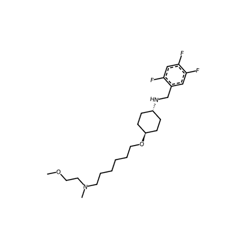 COCCN(C)CCCCCCO[C@H]1CC[C@H](NCc2cc(F)c(F)cc2F)CC1